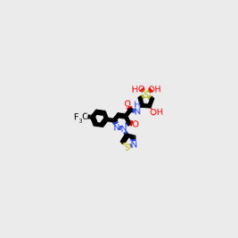 O=C(N[C@@H]1CS(O)(O)C[C@@H]1O)c1cc(-c2ccc(C(F)(F)F)cc2)nn(-c2cnsc2)c1=O